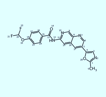 Cc1ncc(-c2cnc3cnc(NC(=O)c4ccc(OC(F)F)cc4)cc3c2)o1